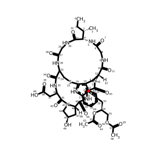 CC[C@H](C)[C@@H]1NC(=O)CNC(=O)[C@H]2Cc3c([nH]c4ccccc34)SCC(NC(=O)CNC1=O)C(=O)NC(CC(=O)O)C(=O)N1C[C@H](O)C[C@H]1C(=O)N[C@@H](C[C@@H](COC(C)=O)OC(C)=O)C(=O)N2